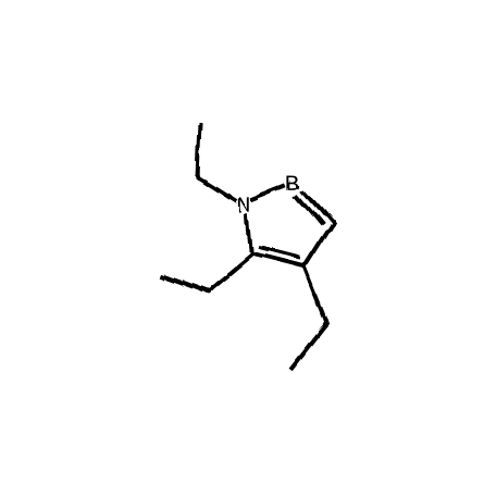 CCc1cbn(CC)c1CC